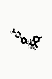 CC(=O)N1CCN(c2ccc(Nc3nc4ccc(C)cc4c4cn[nH]c34)cc2)CC1